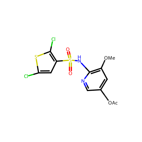 COc1cc(OC(C)=O)cnc1NS(=O)(=O)c1cc(Cl)sc1Cl